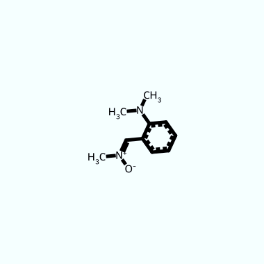 CN(C)c1ccccc1C=[N+](C)[O-]